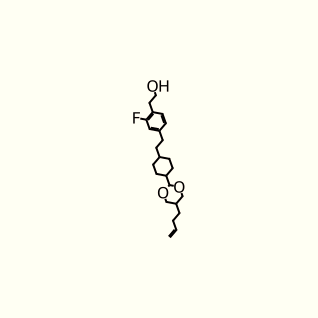 C=CCCC1COC(C2CCC(CCc3ccc(CCO)c(F)c3)CC2)OC1